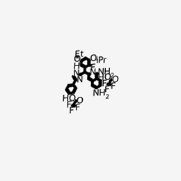 CCOc1cc(OC(C)C)c(F)c(C(c2cc3cc(N)ccc3c(N)n2)c2nc(-c3ccccc3)c[nH]2)c1.O=C(O)C(F)(F)F.O=C(O)C(F)(F)F